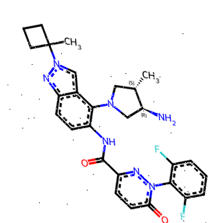 C[C@H]1CN(c2c(NC(=O)c3ccc(=O)n(-c4c(F)cccc4F)n3)ccc3nn(C4(C)CCC4)cc23)C[C@@H]1N